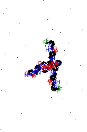 COc1cc2nn([C@@H]3CC[C@@H](CN4CCCN(c5cccn6c(N7CCC(=O)NC7=O)cnc56)CC4)C(C4C[C@@H](n5cc6cc(NC(=O)c7cccc(C(F)(F)F)n7)c(OC)cc6n5)CC[C@@H]4CN4C5CC4CN(c4ccn6c(N7CCC(=O)NC7=O)cnc6c4)C5)C3)cc2cc1NC(=O)c1cccc(C(F)(F)F)n1